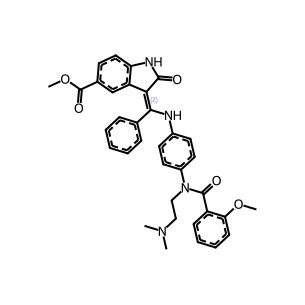 COC(=O)c1ccc2c(c1)/C(=C(/Nc1ccc(N(CCN(C)C)C(=O)c3ccccc3OC)cc1)c1ccccc1)C(=O)N2